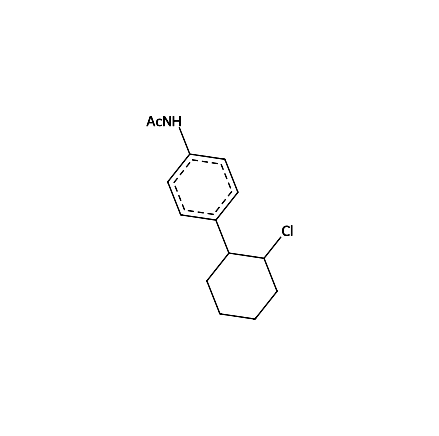 CC(=O)Nc1ccc(C2CCCCC2Cl)cc1